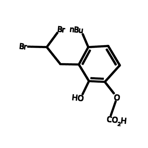 CCCCc1ccc(OC(=O)O)c(O)c1CC(Br)Br